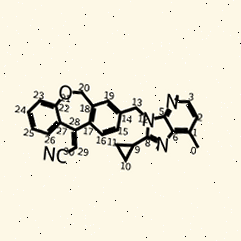 Cc1ccnc2c1nc(C1CC1)n2Cc1ccc2c(c1)COc1ccccc1/C2=C\C#N